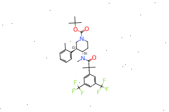 Cc1ccccc1[C@H]1CN(C(=O)OC(C)(C)C)CC[C@@H]1N(C)C(=O)C(C)(C)c1cc(C(F)(F)F)cc(C(F)(F)F)c1